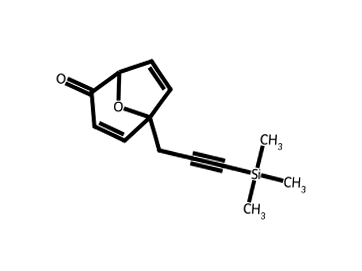 C[Si](C)(C)C#CCC12C=CC(=O)C(C=C1)O2